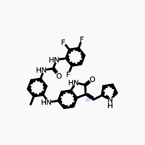 Cc1ccc(NC(=O)Nc2c(F)ccc(F)c2F)cc1Nc1ccc2c(c1)NC(=O)/C2=C\c1ccc[nH]1